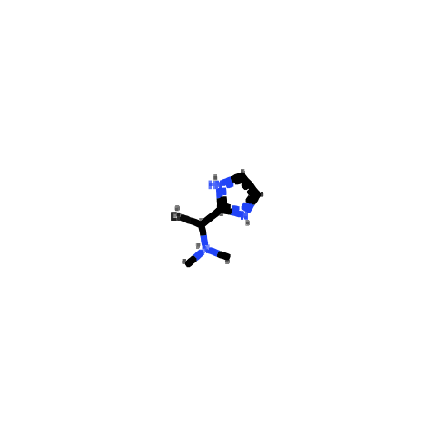 CCC(c1ncc[nH]1)N(C)C